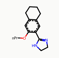 CCCOc1cc2c(cc1C1=NCCN1)CCCC2